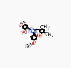 CCCOc1ccc(-c2nc(Cc3ccc(C)cc3C)nc(-c3ccc(OCCC)cc3O)n2)c(O)c1